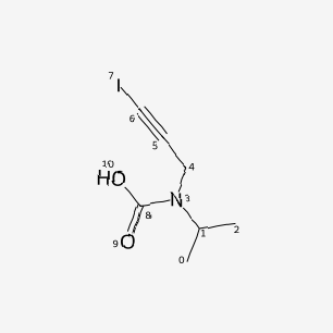 CC(C)N(CC#CI)C(=O)O